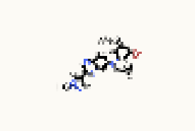 COc1cc(Br)cc(N(CC2CC2)c2ccc3ncc(-c4cnn(C)c4)nc3c2)c1